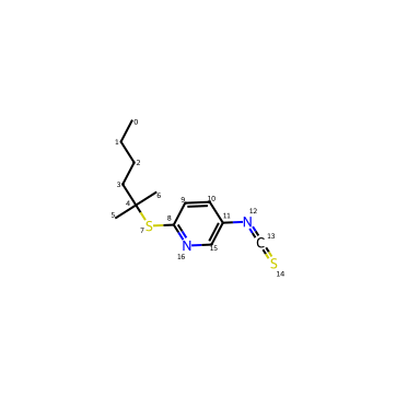 CCCCC(C)(C)Sc1ccc(N=C=S)cn1